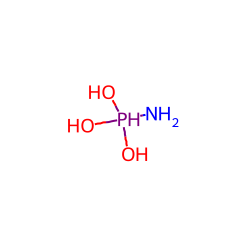 N[PH](O)(O)O